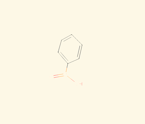 O=[P+](O)c1ccccc1